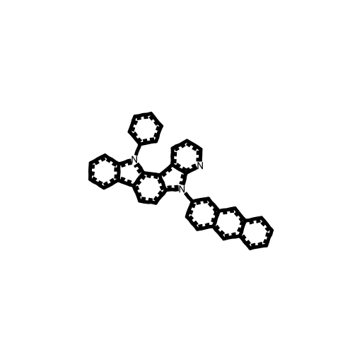 c1ccc(-n2c3ccccc3c3ccc4c(c5cccnc5n4-c4ccc5cc6ccccc6cc5c4)c32)cc1